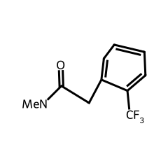 CNC(=O)Cc1ccccc1C(F)(F)F